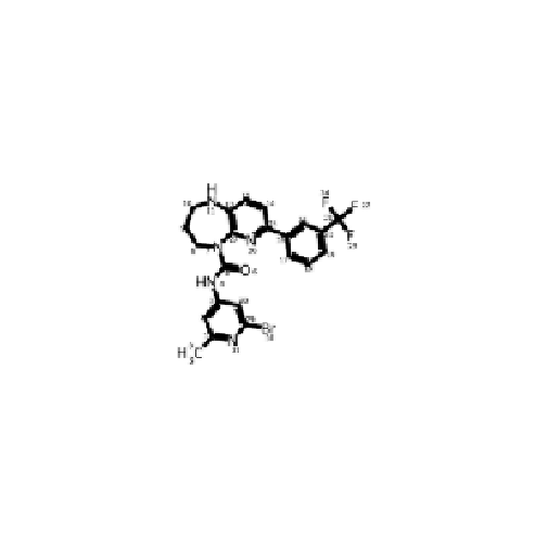 Cc1cc(NC(=O)N2CCCNc3ccc(-c4cccc(C(F)(F)F)c4)nc32)cc(Br)n1